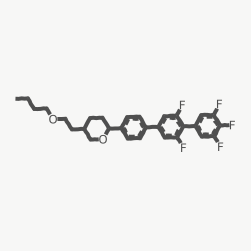 CCCCOCCC1CCC(c2ccc(-c3cc(F)c(-c4cc(F)c(F)c(F)c4)c(F)c3)cc2)OC1